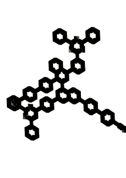 N#Cc1ccc(-c2ccc(-c3ccc4c(-c5cc(-c6cccc(-c7nc(-c8ccccc8)nc(-c8ccccc8)n7)c6)c6ccccc6c5-c5ccc(-c6ccc(C#N)cc6)cc5)cc(-c5ccc(-c6cc(-c7ccccc7)nc(-c7ccccc7)n6)cc5)cc4c3)cc2)cc1